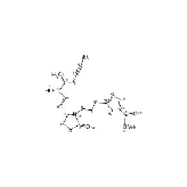 CCC#CC[C@H](C)[C@@H](O)C=C[C@H]1CCC(=O)N1CCCc1ccc(C(=O)OC)s1